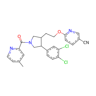 Cc1ccnc(C(=O)N2CC(CCOc3ccc(C#N)cn3)C(c3ccc(Cl)c(Cl)c3)C2)c1